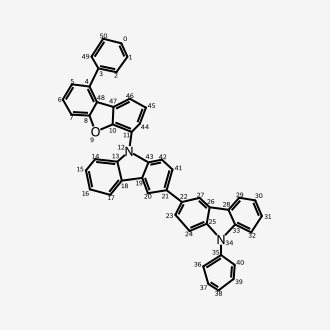 c1ccc(-c2cccc3oc4c(-n5c6ccccc6c6cc(-c7ccc8c(c7)c7ccccc7n8-c7ccccc7)ccc65)cccc4c23)cc1